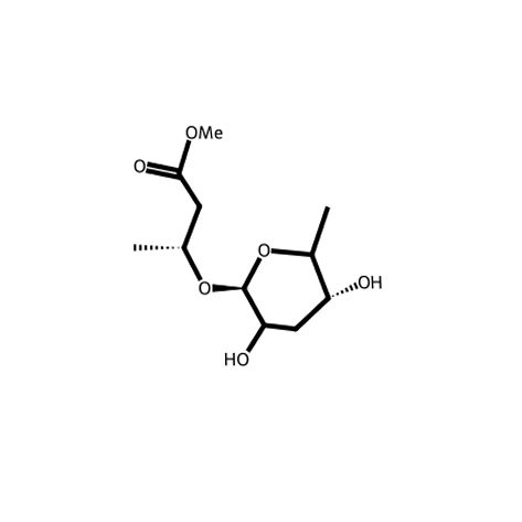 COC(=O)C[C@@H](C)O[C@H]1OC(C)[C@H](O)CC1O